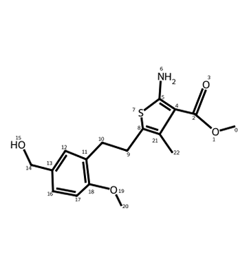 COC(=O)c1c(N)sc(CCc2cc(CO)ccc2OC)c1C